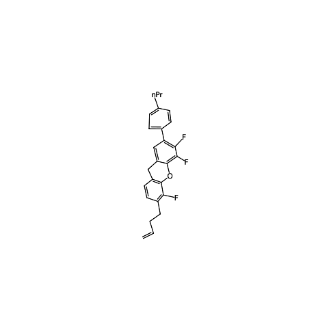 C=CCCc1ccc2c(c1F)Oc1c(cc(-c3ccc(CCC)cc3)c(F)c1F)C2